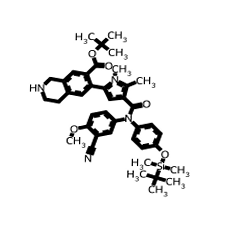 COc1ccc(N(C(=O)c2cc(-c3cc4c(cc3C(=O)OC(C)(C)C)CNCC4)n(C)c2C)c2ccc(O[Si](C)(C)C(C)(C)C)cc2)cc1C#N